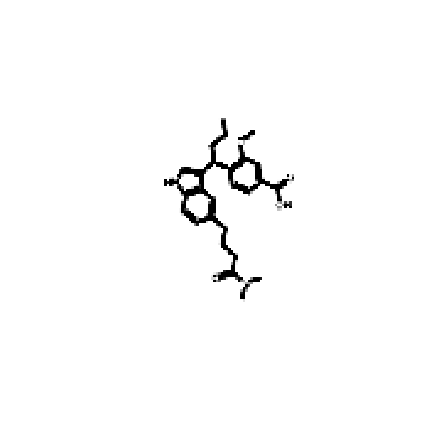 CCCC(c1ccc(C(=O)O)cc1OC)c1c[nH]c2ccc(CCCC(=O)N(C)C)cc12